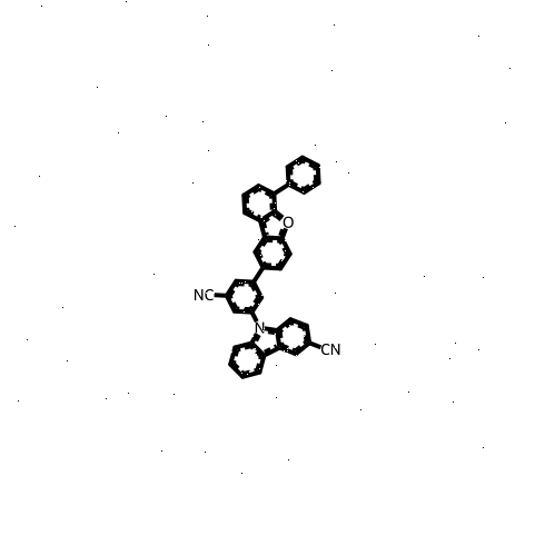 N#Cc1cc(-c2ccc3oc4c(-c5ccccc5)cccc4c3c2)cc(-n2c3ccccc3c3cc(C#N)ccc32)c1